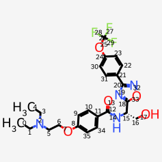 CCN(CC)CCOc1ccc(C(=O)N[C@@H](CO)c2nc(-c3ccc(OC(F)(F)F)cc3)no2)cc1